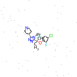 CC(C)n1c(-c2ccncc2)nnc1C(C)(C)Oc1c(F)cc(Cl)cc1F